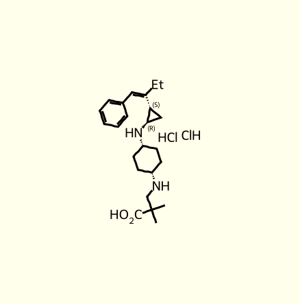 CCC(=Cc1ccccc1)[C@@H]1C[C@H]1N[C@H]1CC[C@@H](NCC(C)(C)C(=O)O)CC1.Cl.Cl